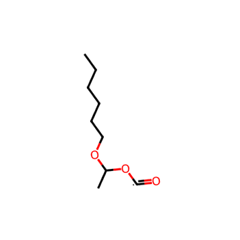 CCCCCCOC(C)O[C]=O